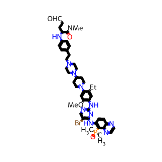 CCc1cc(Nc2ncc(Br)c(Nc3ccc4nccnc4c3P(C)(C)=O)n2)c(OC)cc1N1CCC(N2CCN(CCc3ccc(NC(CCC=O)C(=O)NC)cc3)CC2)CC1